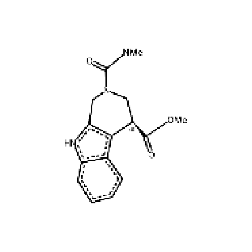 CNC(=O)N1Cc2[nH]c3ccccc3c2[C@H](C(=O)OC)C1